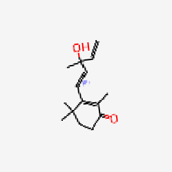 C=CC(C)(O)/C=C/C1=C(C)C(=O)CCC1(C)C